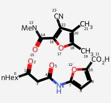 CCCCCCC(=O)CC(=O)Nc1ccc(C(=O)O)o1.CNC(=O)c1oc(C)c(C)c1C#N